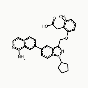 Cc1cccc(OCc2nn(C3CCCC3)c3ccc(-c4ccc5ccnc(N)c5c4)cc23)c1CC(=O)O